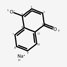 O=C1C=C=C([O-])c2ccccc21.[Na+]